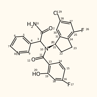 NC(=O)C(c1cccnc1)N(C(=O)c1ccc(F)cc1O)[C@@H]1CCc2c(F)cc(Cl)cc21